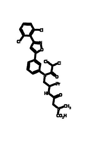 CC(C)C(CN(C(=O)C(Cl)Cl)c1cccc(-c2cc(-c3c(Cl)cccc3Cl)no2)c1)NC(=O)CN(C)C(=O)O